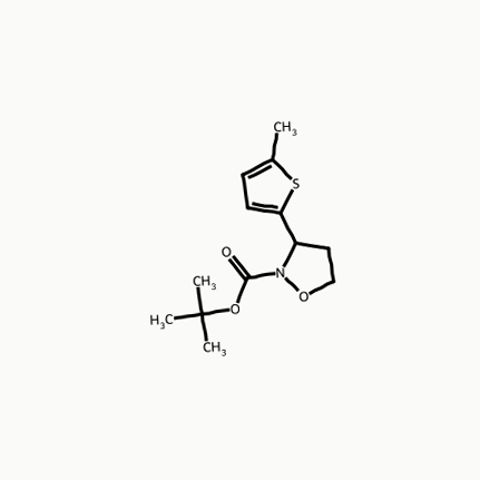 Cc1ccc(C2CCON2C(=O)OC(C)(C)C)s1